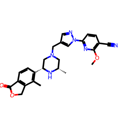 COc1nc(-n2cc(CN3C[C@@H](c4ccc5c(c4C)COC5=O)N[C@@H](C)C3)cn2)ccc1C#N